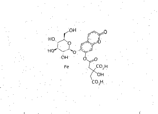 O=C(O)CC(O)(CC(=O)Oc1cc2oc(=O)ccc2cc1O[C@@H]1O[C@H](CO)[C@@H](O)[C@H](O)[C@H]1O)C(=O)O.[Fe]